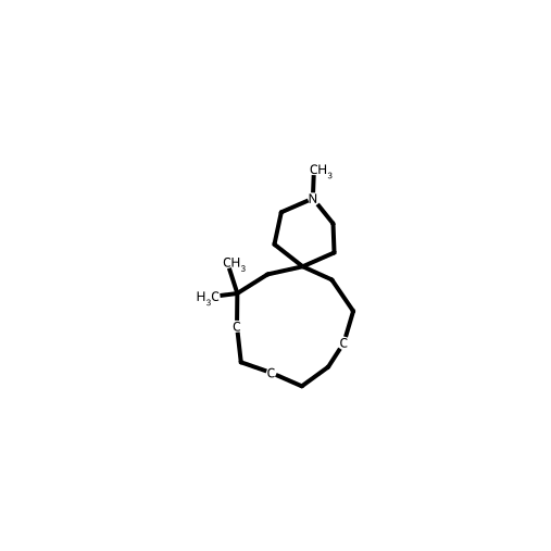 CN1CCC2(CCCCCCCCC(C)(C)C2)CC1